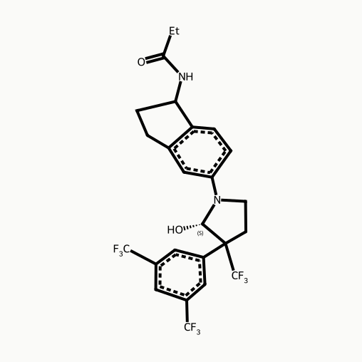 CCC(=O)NC1CCc2cc(N3CCC(c4cc(C(F)(F)F)cc(C(F)(F)F)c4)(C(F)(F)F)[C@@H]3O)ccc21